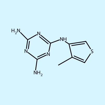 Cc1cscc1Nc1nc(N)nc(N)n1